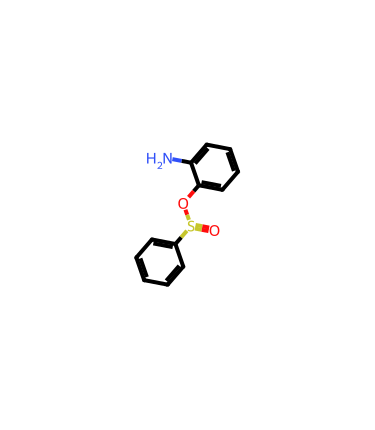 Nc1ccccc1OS(=O)c1ccccc1